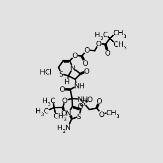 COC(=O)CS(=O)(=O)NC(OC(=O)C(C)(C)C)(C(=O)N[C@@H]1C(=O)N2C(OC(=O)OCOC(=O)C(C)(C)C)=CCS[C@@H]12)c1csc(N)n1.Cl